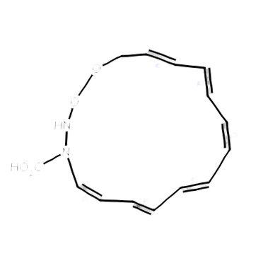 O=C(O)N1\C=C/C=C/C=C/C=C\C=C\C=C\COON1